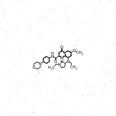 CCN1CCC(N(CC)c2cc(OC)cc3c(=O)cc(C(=O)Nc4ccc(N5CCOCC5)cc4)[nH]c23)C1